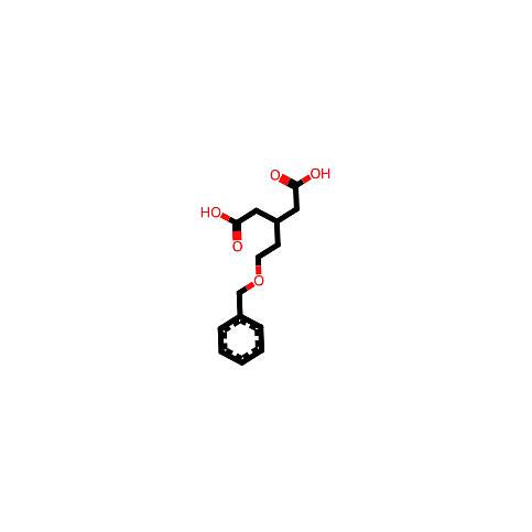 O=C(O)CC(CCOCc1ccccc1)CC(=O)O